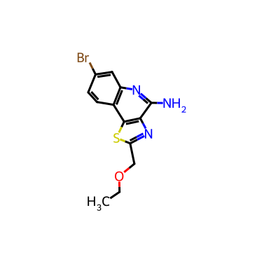 CCOCc1nc2c(N)nc3cc(Br)ccc3c2s1